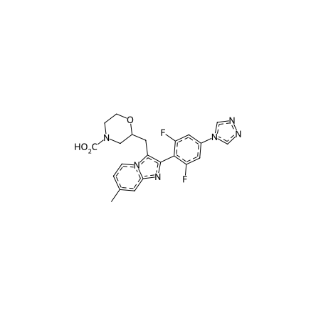 Cc1ccn2c(CC3CN(C(=O)O)CCO3)c(-c3c(F)cc(-n4cnnc4)cc3F)nc2c1